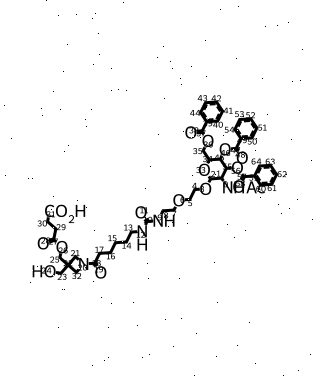 CC(=O)NC1C(OCCOCCNC(=O)NCCCCCC(=O)N2CC(CO)(COC(=O)CCC(=O)O)C2)OC(COC(=O)c2ccccc2)C(OC(=O)c2ccccc2)C1OC(=O)c1ccccc1